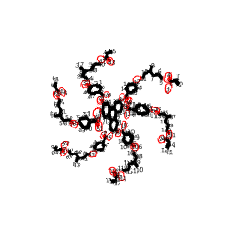 C=CC(=O)OCCCC(C)CCOc1ccc(C(=O)Oc2cc3c4cc(OC(=O)c5ccc(OCCC(C)CCCOC(=O)C=C)cc5)c(OC(=O)c5ccc(OCCC(C)CCCOC(=O)C=C)cc5)cc4c4cc(OC(=O)c5ccc(OCCC(C)CCCOC(=O)C=C)cc5)c(OC(=O)c5ccc(OCCC(C)CCCOC(=O)C=C)cc5)cc4c3cc2OC(=O)c2ccc(OCCC(C)CCCOC(=O)C=C)cc2)cc1